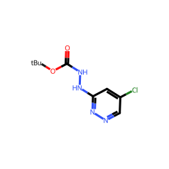 CC(C)(C)OC(=O)NNc1cc(Cl)cnn1